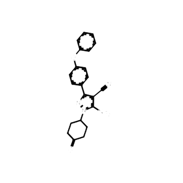 N#Cc1c(-c2ccc(Oc3ccccc3)cc2)nn(C2CCC(=O)CC2)c1N